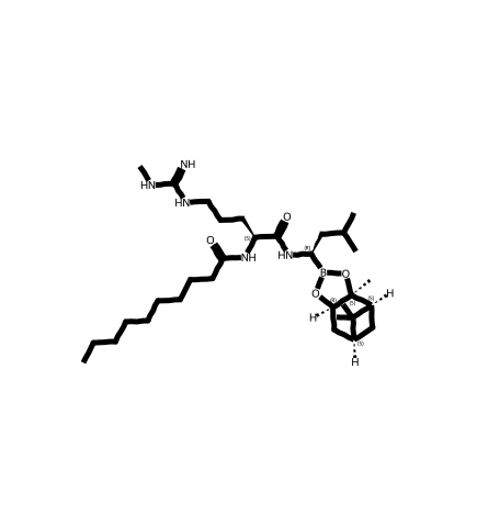 CCCCCCCCCC(=O)N[C@@H](CCCNC(=N)NC)C(=O)N[C@@H](CC(C)C)B1O[C@@H]2C[C@@H]3C[C@@H](C3(C)C)[C@]2(C)O1